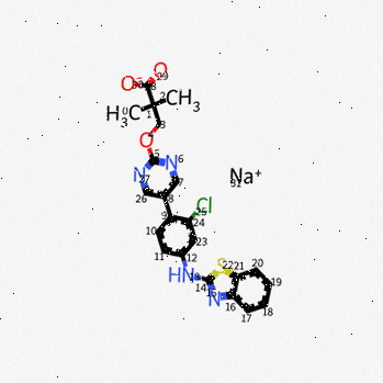 CC(C)(COc1ncc(-c2ccc(Nc3nc4ccccc4s3)cc2Cl)cn1)C(=O)[O-].[Na+]